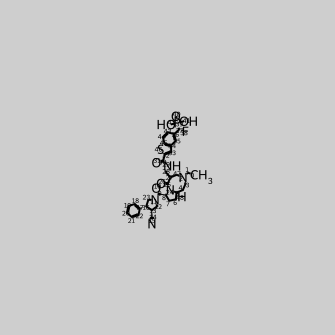 CCN1CC[C@H]2CC[C@@H](C(=O)N3C[C@@H](C#N)[C@H](c4ccccc4)C3)N2C(=O)C(CNC(=O)c2cc3cc([C@@H](F)P(=O)(O)O)ccc3s2)C1